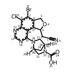 N#CCC1OCc2c(Br)c(Cl)c3ncnc(N4C[C@H]5C[C@@H]4CN5C(=O)O)c3c21